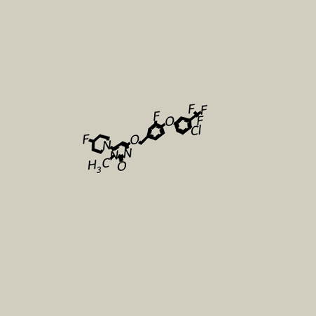 Cn1c(N2CCC(F)CC2)cc(OCc2ccc(Oc3ccc(Cl)c(C(F)(F)F)c3)c(F)c2)nc1=O